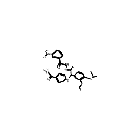 CCOc1cc(C(Nc2ccc(C(=N)N)cc2)C(=O)NNC(=O)c2cccc([N+](=O)[O-])c2)ccc1OC(C)C